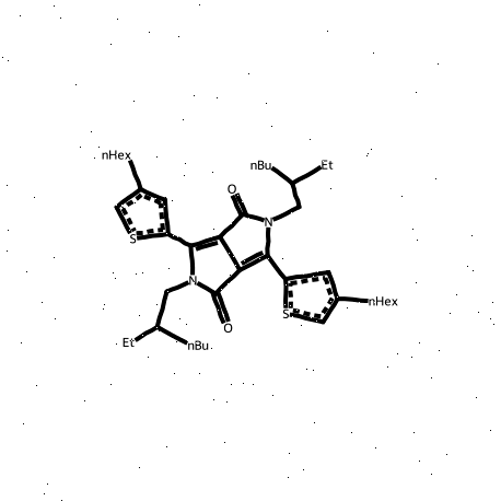 CCCCCCc1csc(C2=C3C(=O)N(CC(CC)CCCC)C(c4cc(CCCCCC)cs4)=C3C(=O)N2CC(CC)CCCC)c1